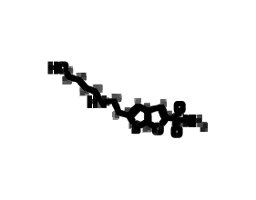 NS(=O)(=O)c1cc2cc(CCNCCCCO)sc2o1